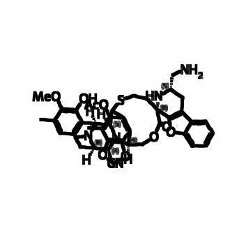 COc1c(C)cc2c(c1O)[C@H]1[C@H]3C4SCC[C@]5(N[C@H](CN)Cc6c5oc5ccccc65)C(=O)OC[C@H](c5c6c(c(C)c(OC(C)=O)c54)OCO6)N3[C@@H](C#N)[C@@H](C2)N1C